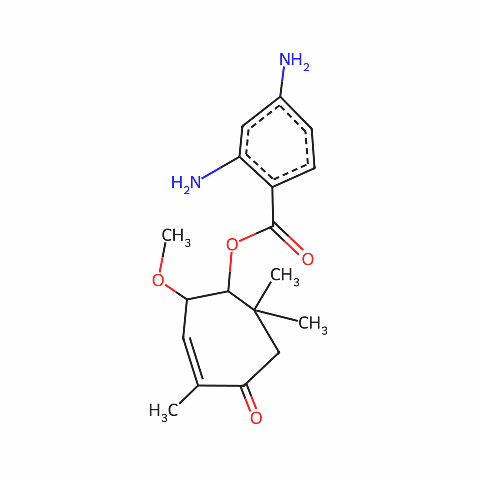 COC1C=C(C)C(=O)CC(C)(C)C1OC(=O)c1ccc(N)cc1N